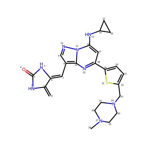 C=c1[nH]c(=O)[nH]/c1=C\c1cnn2c(NC3CC3)cc(-c3ccc(CN4CCN(C)CC4)s3)nc12